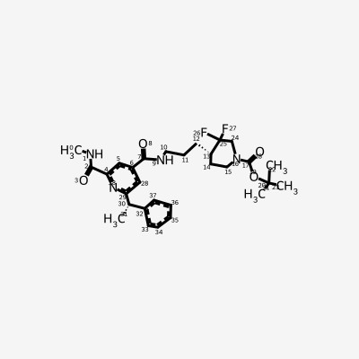 CNC(=O)c1cc(C(=O)NCCC[C@H]2CCN(C(=O)OC(C)(C)C)CC2(F)F)cc([C@@H](C)c2ccccc2)n1